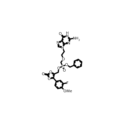 COc1ccc(-c2oc(=O)oc2COP(=O)(COCCn2cnc3c(=O)[nH]c(N)nc32)OCc2ccccc2)cc1F